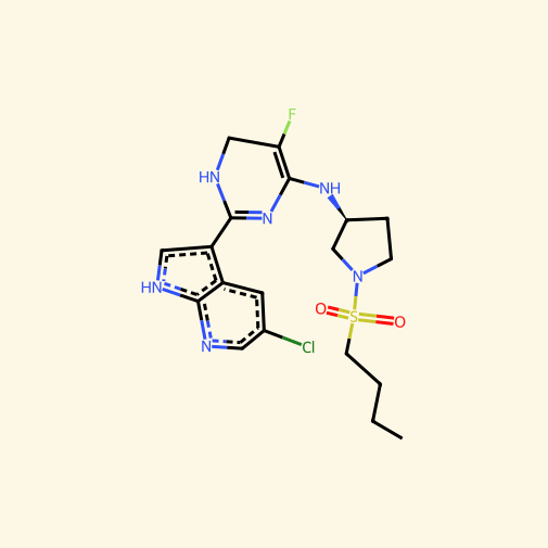 CCCCS(=O)(=O)N1CC[C@H](NC2=C(F)CNC(c3c[nH]c4ncc(Cl)cc34)=N2)C1